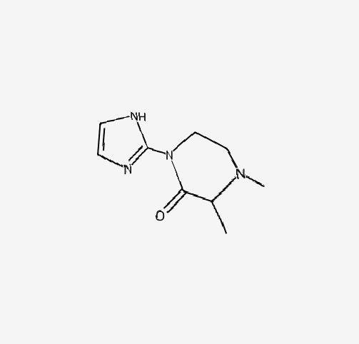 CC1C(=O)N(c2ncc[nH]2)CCN1C